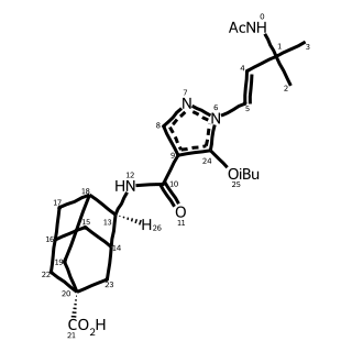 CC(=O)NC(C)(C)/C=C/n1ncc(C(=O)N[C@H]2C3CC4CC2C[C@](C(=O)O)(C4)C3)c1OCC(C)C